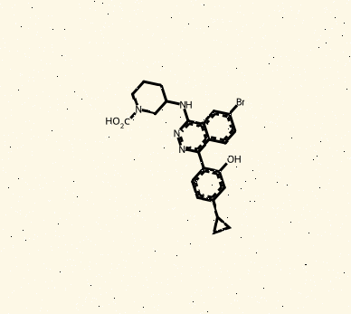 O=C(O)N1CCCC(Nc2nnc(-c3ccc(C4CC4)cc3O)c3ccc(Br)cc23)C1